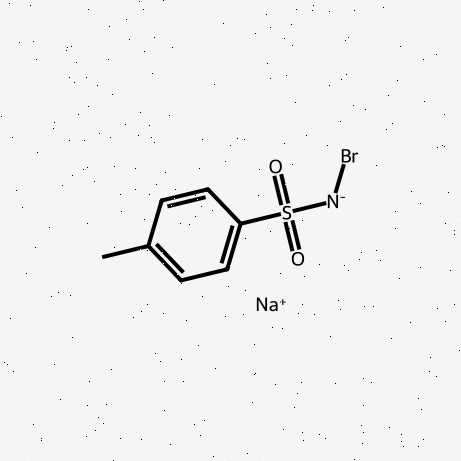 Cc1ccc(S(=O)(=O)[N-]Br)cc1.[Na+]